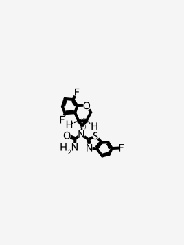 NC(=O)N(c1nc2ccc(F)cc2s1)[C@@H]1[C@@H]2COc3c(F)ccc(F)c3[C@@H]21